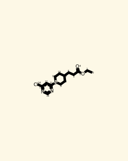 CCOC(=O)CCC1CCN(c2cc(Cl)ncn2)CC1